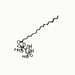 CCCCCCCCCCCCCCCCCC(=O)OP(=O)(O)C(O)CP(=O)(O)O